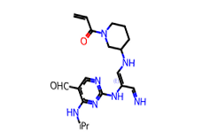 C=CC(=O)N1CCCC(N/C=C(\C=N)Nc2ncc(C=O)c(NC(C)C)n2)C1